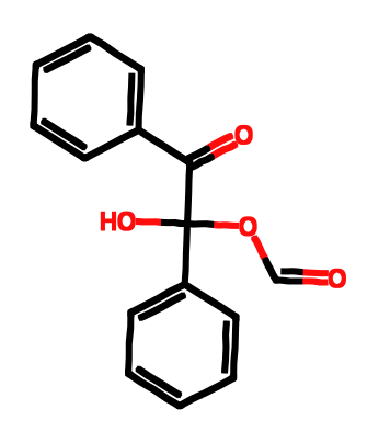 O=COC(O)(C(=O)c1ccccc1)c1ccccc1